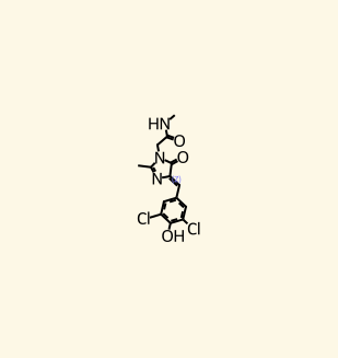 CNC(=O)CN1C(=O)/C(=C/c2cc(Cl)c(O)c(Cl)c2)N=C1C